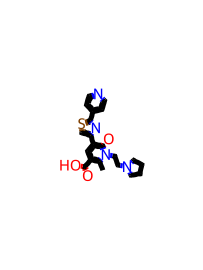 Cc1c(C(=O)O)cc(-c2csc(-c3ccncc3)n2)c(=O)n1CCN1CCCC1